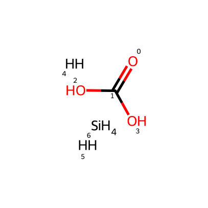 O=C(O)O.[HH].[HH].[SiH4]